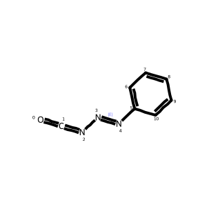 O=C=N/N=N/c1ccccc1